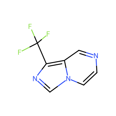 FC(F)(F)c1ncn2ccncc12